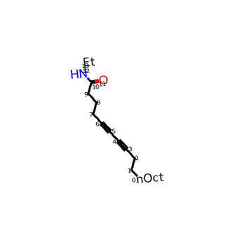 CCCCCCCCCCC#CC#CCCCC(=O)NCC